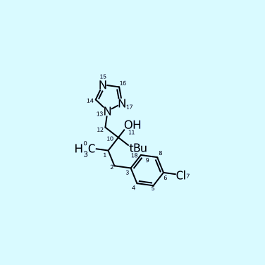 CC(Cc1ccc(Cl)cc1)C(O)(Cn1cncn1)C(C)(C)C